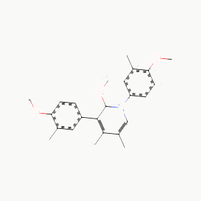 COc1ccc(C2=C(C)C(C)=[C]N(c3ccc(OC)c(C)c3)C2OC)cc1C